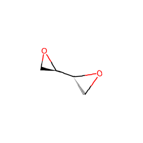 C1O[C@H]1[C@H]1CO1